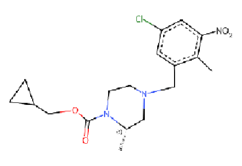 Cc1c(CN2CCN(C(=O)OCC3CC3)[C@@H](C)C2)cc(Cl)cc1[N+](=O)[O-]